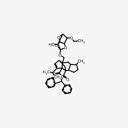 CCOC1C2OC3(OCC45CC6C(C)CCC6C6(C=O)CC4C=C(C(C)C)C65C(=O)OC(c4ccccc4)c4ccccc4)OC2OC1C3O